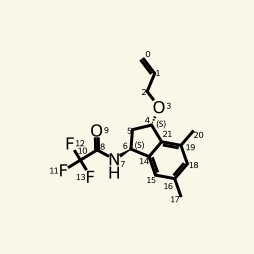 C=CCO[C@H]1C[C@H](NC(=O)C(F)(F)F)c2cc(C)cc(C)c21